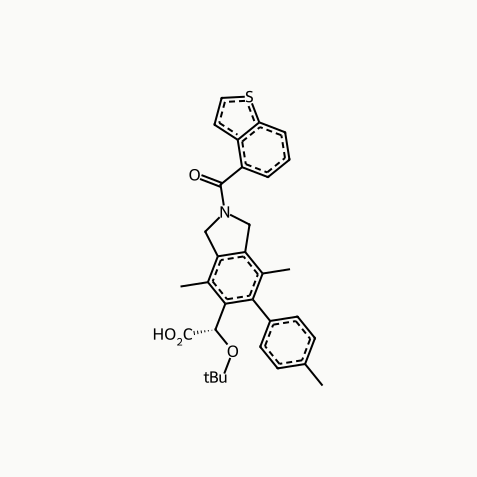 Cc1ccc(-c2c(C)c3c(c(C)c2[C@H](OC(C)(C)C)C(=O)O)CN(C(=O)c2cccc4sccc24)C3)cc1